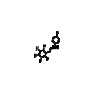 Fc1ccc(NC=Cc2c(F)c(F)c(F)c(F)c2F)cc1